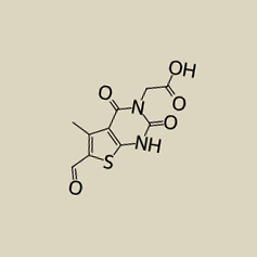 Cc1c(C=O)sc2[nH]c(=O)n(CC(=O)O)c(=O)c12